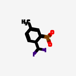 CC1=CC(=S(=O)=O)C(C(I)I)C=C1